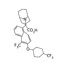 O=C(O)C1CC2CCCC(C1)N2Cc1cccc2c(C(F)(F)F)c(OC3CCC(C(F)(F)F)CC3)ccc12